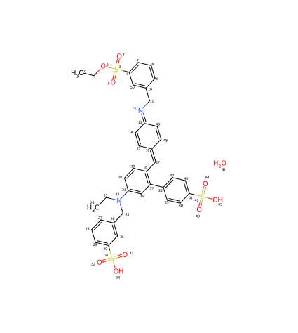 CCOS(=O)(=O)c1cccc(CN=C2C=CC(=Cc3ccc(N(CC)Cc4cccc(S(=O)(=O)O)c4)cc3-c3ccc(S(=O)(=O)O)cc3)C=C2)c1.O